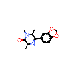 CC1C(c2ccc3c(c2)OCO3)=N[C@@H](C)C(=O)N1C